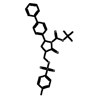 Cc1ccc(S(=O)(=O)OCC2CC(c3ccc(-c4ccccc4)cc3)N(C(=O)OC(C)(C)C)C2=O)cc1